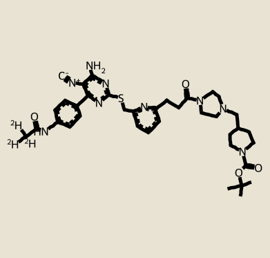 [2H]C([2H])([2H])C(=O)Nc1ccc(-c2nc(SCc3cccc(CCC(=O)N4CCN(CC5CCN(C(=O)OC(C)(C)C)CC5)CC4)n3)nc(N)c2[N+]#[C-])cc1